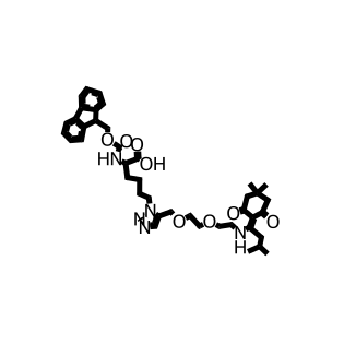 CC(C)CC(NCCOCCOCc1cnnn1CCCCC(NC(=O)OCC1c2ccccc2-c2ccccc21)C(=O)O)=C1C(=O)CC(C)(C)CC1=O